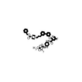 CC(C)(C)OC(=O)N[C@H]1CC[C@H](NC(=O)c2cc(F)cnc2Oc2cccc(-c3cccc(CCCN4CCN(C(=O)OCc5ccccc5)CC4)c3)c2)CC1